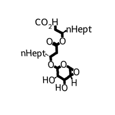 CCCCCCC[C@H](CC(=O)O)OC(=O)C[C@@H](CCCCCCC)OC1OC2O[C@@H]2C(O)[C@@H]1O